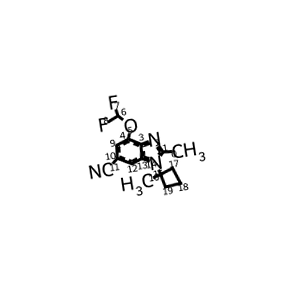 Cc1nc2c(OC(F)F)cc(C#N)cc2n1C1(C)CCC1